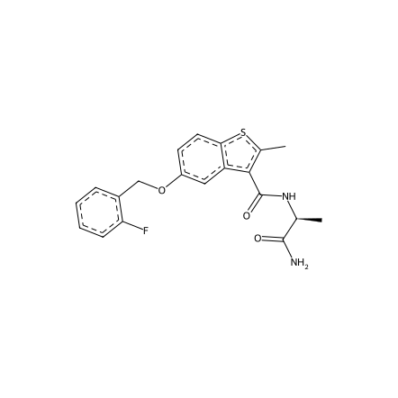 Cc1sc2ccc(OCc3ccccc3F)cc2c1C(=O)N[C@@H](C)C(N)=O